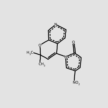 CC1(C)C=C(n2cc([N+](=O)[O-])ccc2=O)c2ccncc2O1